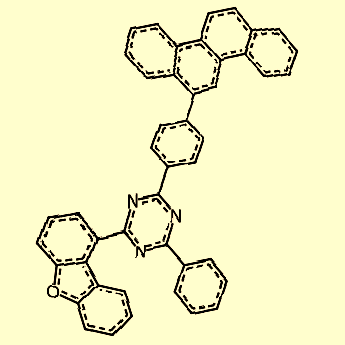 c1ccc(-c2nc(-c3ccc(-c4cc5c6ccccc6ccc5c5ccccc45)cc3)nc(-c3cccc4oc5ccccc5c34)n2)cc1